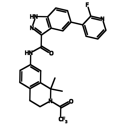 CC1(C)c2cc(NC(=O)c3n[nH]c4ccc(-c5cccnc5F)cc34)ccc2CCN1C(=O)C(F)(F)F